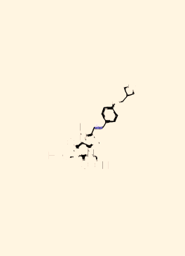 CCn1c(=O)c2[nH]c(/C=C/c3ccc(OCC4COC4)cc3)nc2n(CC)c1=O